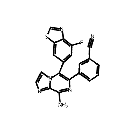 N#Cc1cccc(-c2nc(N)c3nccn3c2-c2cc(F)c3ncsc3c2)c1